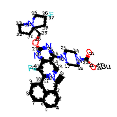 C#Cc1cccc2cccc(-c3ncc4c(N5CCN(C(=O)OC(C)(C)C)CC5)nc(OC[C@@]56CCCN5C[C@H](F)C6)nc4c3F)c12